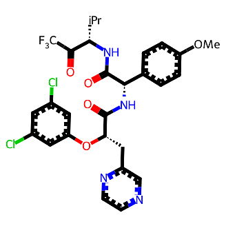 COc1ccc([C@H](NC(=O)[C@H](Cc2cnccn2)Oc2cc(Cl)cc(Cl)c2)C(=O)N[C@H](C(=O)C(F)(F)F)C(C)C)cc1